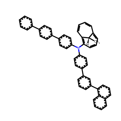 C[C@H]1C2=CC=CC(N(c3ccc(-c4ccc(-c5ccccc5)cc4)cc3)c3ccc(-c4cccc(-c5cccc6ccccc56)c4)cc3)=C1C=CC=C2